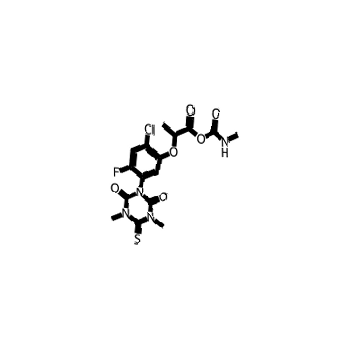 CNC(=O)OC(=O)C(C)Oc1cc(-n2c(=O)n(C)c(=S)n(C)c2=O)c(F)cc1Cl